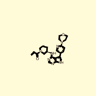 C=CC(=O)N1CCC[C@@H](Nc2ncnc3[nH]cc(-c4ccc(N5CCOCC5)nc4)c23)C1